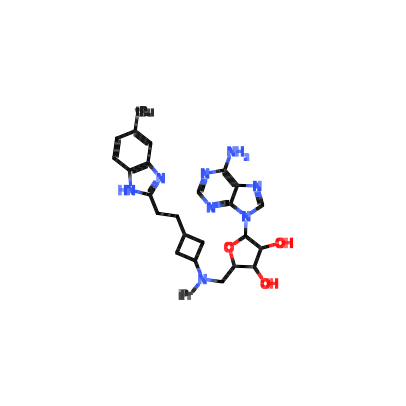 CC(C)N(CC1OC(n2cnc3c(N)ncnc32)C(O)C1O)C1CC(CCc2nc3cc(C(C)(C)C)ccc3[nH]2)C1